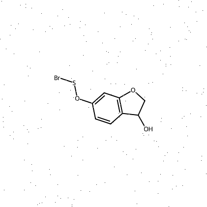 OC1COc2cc(OSBr)ccc21